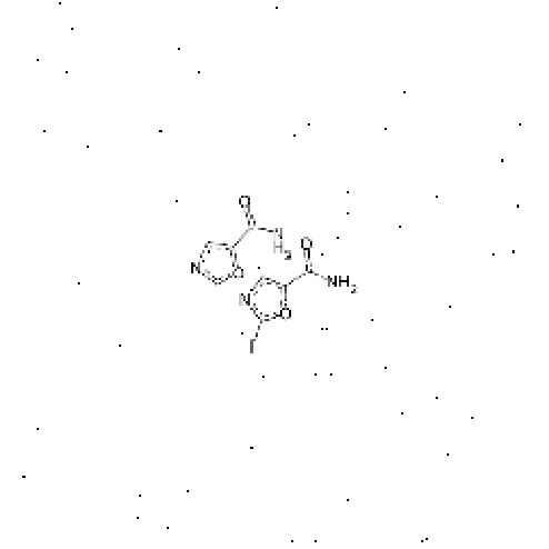 NC(=O)c1cnc(I)o1.NC(=O)c1cnco1